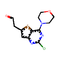 O=CCc1cc2nc(Cl)nc(N3CCOCC3)c2s1